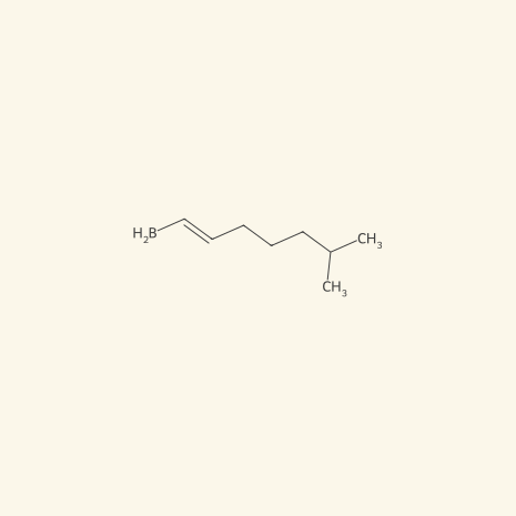 BC=CCCCC(C)C